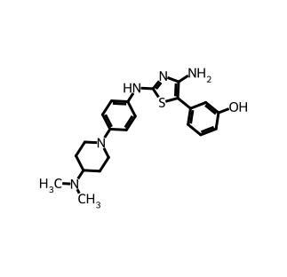 CN(C)C1CCN(c2ccc(Nc3nc(N)c(-c4cccc(O)c4)s3)cc2)CC1